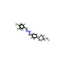 C[C@H]1CC[C@H](c2ccc(C=NN=Cc3ccc(F)c(F)c3)cc2)CC1